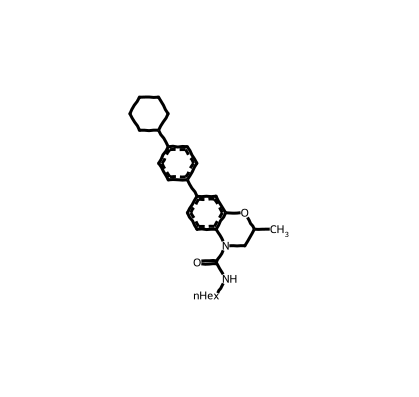 CCCCCCNC(=O)N1CC(C)Oc2cc(-c3ccc(C4CCCCC4)cc3)ccc21